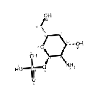 N[C@H]1[C@@H](OP(=O)(O)O)O[C@H](CO)C[C@@H]1O